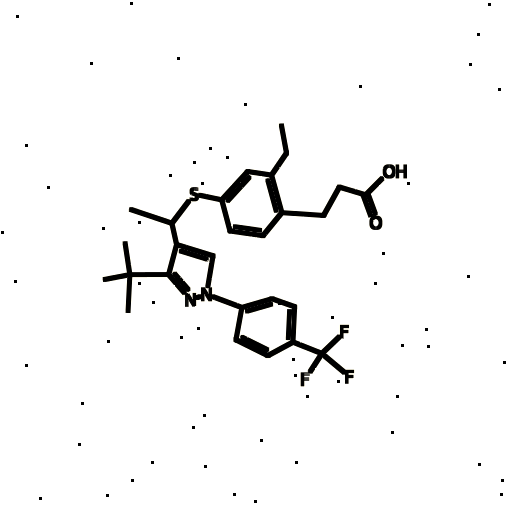 CCc1cc(SC(C)c2cn(-c3ccc(C(F)(F)F)cc3)nc2C(C)(C)C)ccc1CCC(=O)O